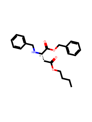 CCCCOC(=O)C[C@H](NCc1ccccc1)C(=O)OCc1ccccc1